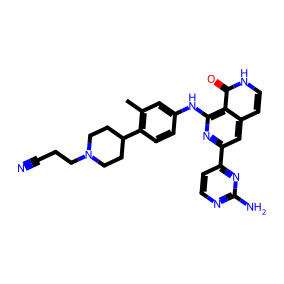 Cc1cc(Nc2nc(-c3ccnc(N)n3)cc3cc[nH]c(=O)c23)ccc1C1CCN(CCC#N)CC1